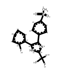 CS(=O)(=O)c1ccc(-c2nc(C(F)(F)F)[nH]c2-c2ccccc2F)cc1